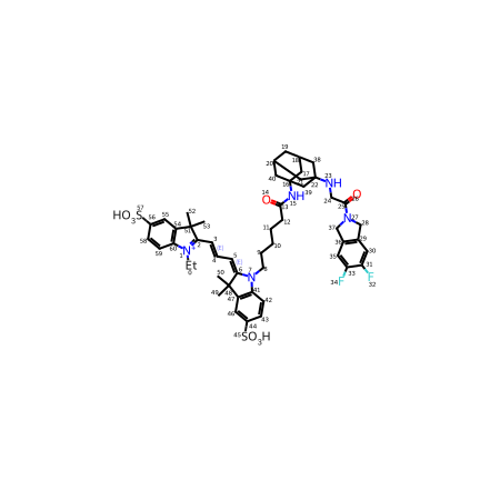 CC[N+]1=C(/C=C/C=C2/N(CCCCCC(=O)NC34CC5CC(CC(NCC(=O)N6Cc7cc(F)c(F)cc7C6)(C5)C3)C4)c3ccc(S(=O)(=O)O)cc3C2(C)C)C(C)(C)c2cc(S(=O)(=O)O)ccc21